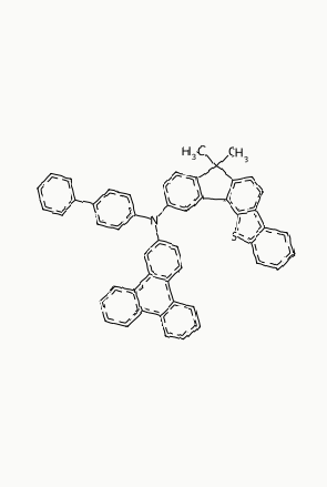 CC1(C)c2ccc(N(c3ccc(-c4ccccc4)cc3)c3ccc4c5ccccc5c5ccccc5c4c3)cc2-c2c1ccc1c2sc2ccccc21